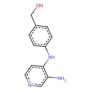 Nc1cnccc1Nc1ccc(CO)cc1